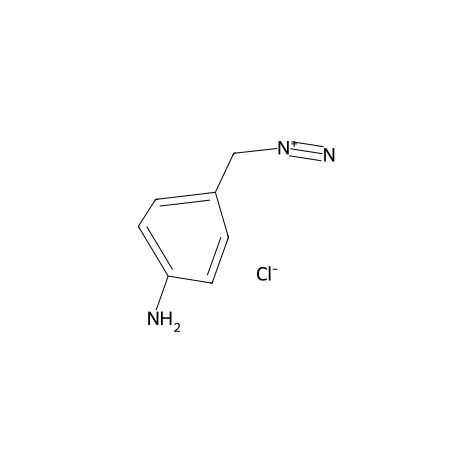 N#[N+]Cc1ccc(N)cc1.[Cl-]